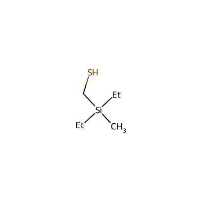 CC[Si](C)(CC)CS